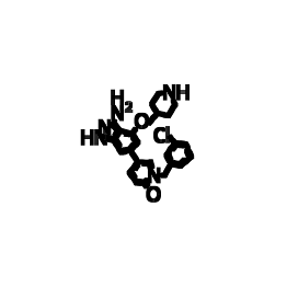 Nc1n[nH]c2cc(-c3ccc(=O)n(Cc4cccc(Cl)c4)c3)cc(OCC3CCNCC3)c12